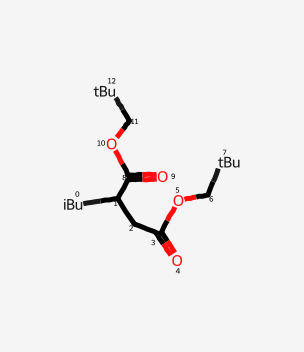 CCC(C)C(CC(=O)OCC(C)(C)C)C(=O)OCC(C)(C)C